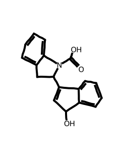 O=C(O)N1c2ccccc2CC1C1=CC(O)c2ccccc21